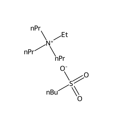 CCCCS(=O)(=O)[O-].CCC[N+](CC)(CCC)CCC